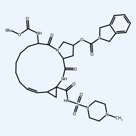 CN1CCN(S(=O)(=O)NC(=O)C23CC2C=CCCCCCC(NC(=O)OC(C)(C)C)C(=O)N2CC(OC(=O)N4Cc5ccccc5C4)CC2C(=O)N3)CC1